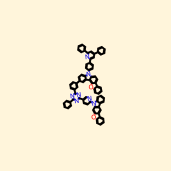 c1ccc(-c2cc(-c3ccccc3)nc(-c3ccc(-n4c5ccc(-c6cccc(-c7nc(-c8ccccc8)nc(-c8ccc(-n9c%10ccccc%10c%10cc%11c(cc%109)oc9ccccc9%11)nc8)n7)c6)cc5c5c6oc7ccccc7c6ccc54)cc3)c2)cc1